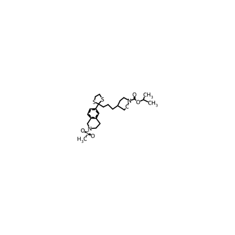 CC(C)OC(=O)N1CCC(CCCC2(c3ccc4c(c3)CCN(S(C)(=O)=O)C4)SCCS2)CC1